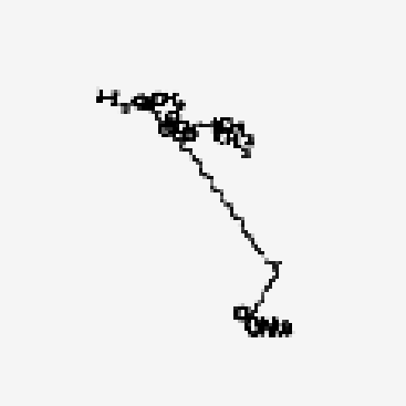 COC(=O)CCCCCCCC1CC1CCCCCCCCCCCCCCCCCCCC(OC(=O)CCCN(C)C)OC(=O)CCCN(C)C